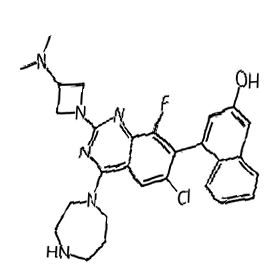 CN(C)C1CN(c2nc(N3CCCNCC3)c3cc(Cl)c(-c4cc(O)cc5ccccc45)c(F)c3n2)C1